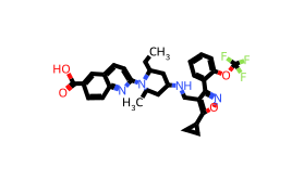 CCC1CC(NCc2c(-c3ccccc3OC(F)(F)F)noc2C2CC2)CC(C)N1c1ccc2cc(C(=O)O)ccc2n1